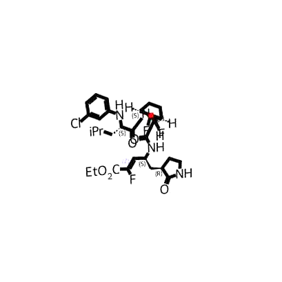 CCOC(=O)/C(F)=C/[C@H](C[C@H]1CCNC1=O)NC(=O)[C@H]1[C@@H]2CC[C@@H](CC2(F)F)N1C(=O)[C@H](CC(C)C)Nc1cccc(Cl)c1